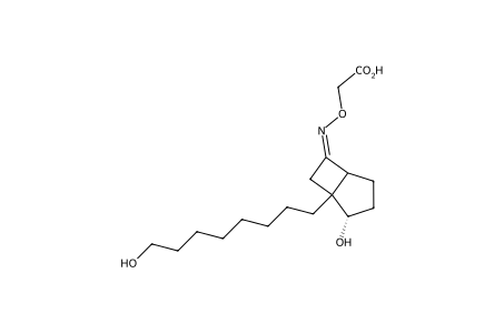 O=C(O)CON=C1CC2(CCCCCCCCO)C1CC[C@@H]2O